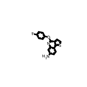 Nc1ccc2c(c1)nc(Oc1ccc(F)cc1)c1ccsc12